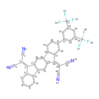 N#CC(C#N)=C1c2ccccc2-c2cc3c(cc21)-c1ccc(-c2cc(C(F)(F)F)cc(C(F)(F)F)c2)cc1C3=C(C#N)C#N